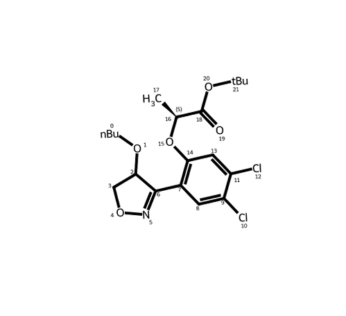 CCCCOC1CON=C1c1cc(Cl)c(Cl)cc1O[C@@H](C)C(=O)OC(C)(C)C